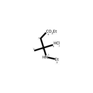 CCNC(C)(C)CC(=O)OCC.Cl